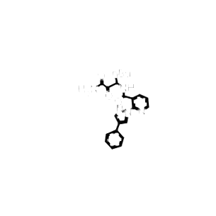 CCCCC(NC(=O)c1cccnc1-n1cc(-c2ccccc2)cn1)C(=O)C(N)=O